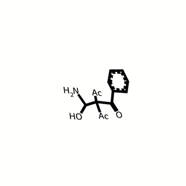 CC(=O)C(C(C)=O)(C(=O)c1ccccc1)C(N)O